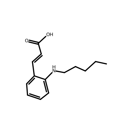 CCCCCNc1ccccc1/C=C/C(=O)O